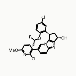 COc1ccc(-c2ccc3nc4c(n3c2)[C@@H](c2cc(Cl)ccc2OC(F)F)C[C@H]4O)c(Cl)n1